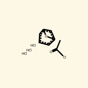 CC(=O)Cl.Cl.Cl.Cl.c1cc2cc(c1)O2